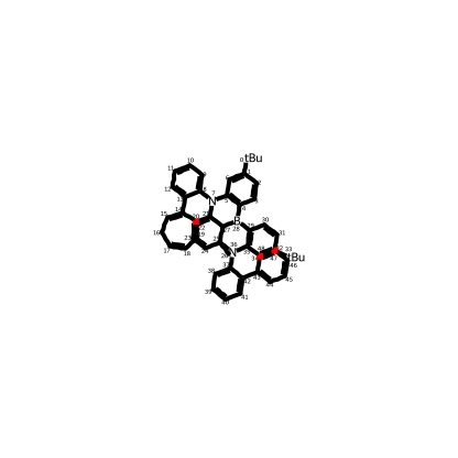 CC(C)(C)c1ccc2c(c1)N(c1ccccc1C1=CCC=CC=C1)C1=CC=CC3(C)C1B2c1ccc(C(C)(C)C)cc1N3c1ccccc1-c1ccccc1